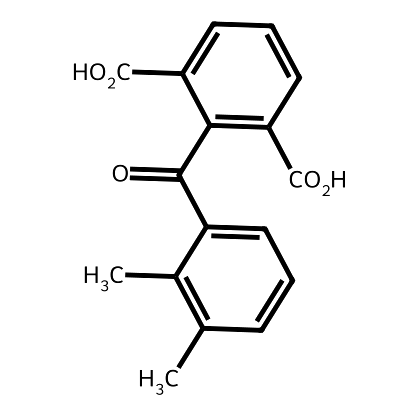 Cc1cccc(C(=O)c2c(C(=O)O)cccc2C(=O)O)c1C